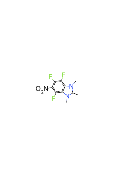 CC1N(C)c2c(F)c(F)c([N+](=O)[O-])c(F)c2N1C